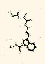 CC[C@H](NC(=O)OC(C)(C)C)C(=O)NC/C=C/c1cn(C(=O)OC(C)(C)C)c2ccccc12